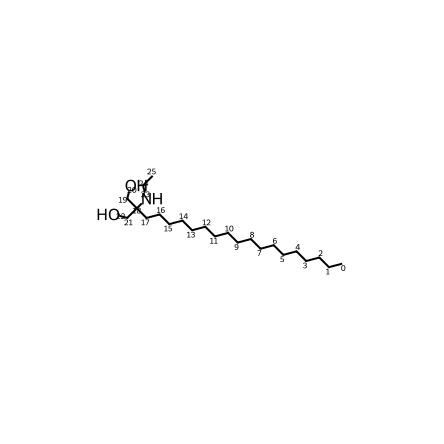 CCCCCCCCCCCCCCCCCCC(CO)(CO)NCC